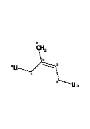 [Li][CH2]C=C(C)[CH2][Li]